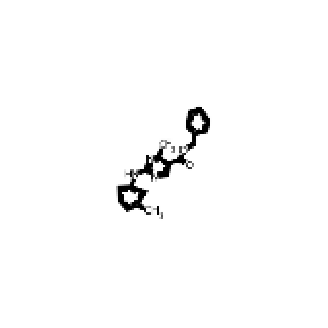 Cc1cccc(Nc2ncc(C(=O)OCc3ccccc3)c(C(F)(F)F)n2)c1